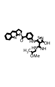 COC(C)CNC(=N)c1c(O)nsc1Nc1cccc(C(=O)N2CCc3cc4ccccc4nc32)c1